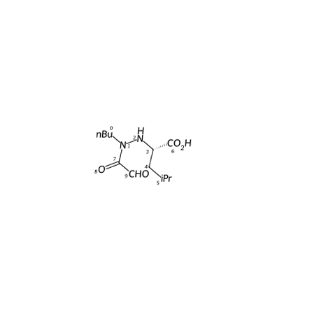 CCCCN(N[C@@H](CC(C)C)C(=O)O)C(=O)C=O